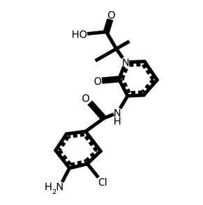 CC(C)(C(=O)O)n1cccc(NC(=O)c2ccc(N)c(Cl)c2)c1=O